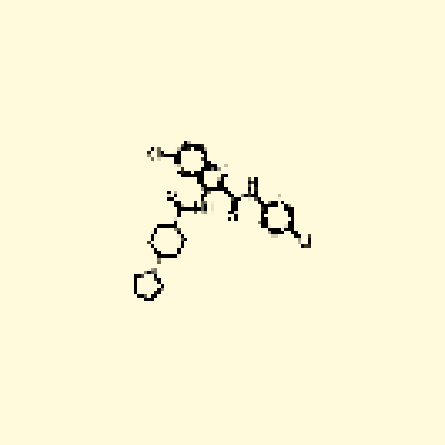 O=C(Nc1ccc(Cl)cn1)c1oc2ccc(Cl)nc2c1NC(=O)[C@H]1CC[C@H](N2CCCC2)CC1